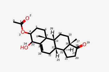 CC(=O)OC1CC[C@@]2(C)C(=CC[C@@H]3[C@H]2CC[C@]2(C)C(=O)CC[C@@H]32)C1O